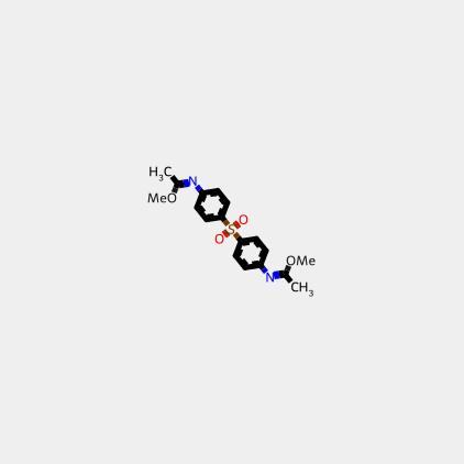 CO/C(C)=N\c1ccc(S(=O)(=O)c2ccc(/N=C(/C)OC)cc2)cc1